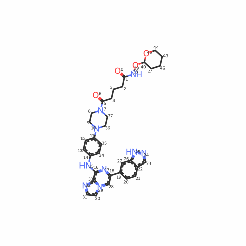 O=C(CCCC(=O)N1CCN(c2ccc(Nc3nc(-c4ccc5cn[nH]c5c4)cn4ccnc34)cc2)CC1)NOC1CCCCO1